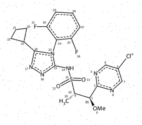 CO[C@H](c1ncc(Cl)cn1)[C@H](C)S(=O)(=O)Nc1nnc(C2CCC2)n1-c1c(F)cccc1F